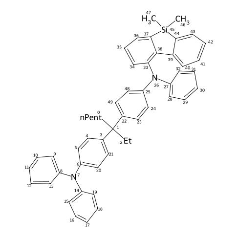 CCCCCC(CC)(c1ccc(N(c2ccccc2)c2ccccc2)cc1)c1ccc(N(c2ccccc2)c2cccc3c2-c2ccccc2[Si]3(C)C)cc1